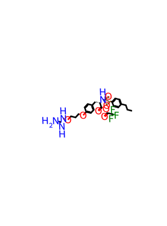 CCCc1ccc(S(=O)(=O)N[C@@H](Cc2ccc(OCCCONC(=N)N)cc2)C(=O)OC(=O)C(F)(F)F)cc1